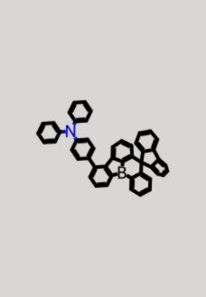 c1ccc(N(c2ccccc2)c2ccc(-c3cccc4c3-c3cccc5c3B4c3ccccc3C53c4ccccc4-c4ccccc43)cc2)cc1